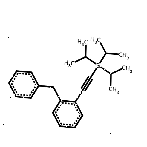 CC(C)[Si](C#Cc1ccccc1Cc1ccccc1)(C(C)C)C(C)C